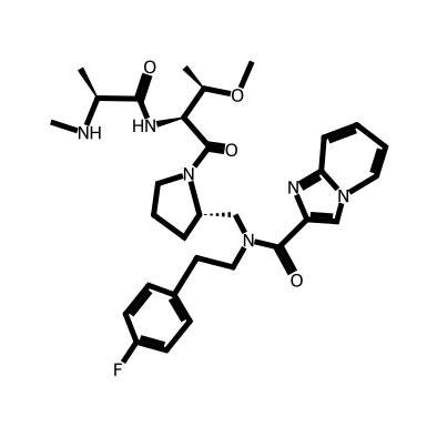 CN[C@@H](C)C(=O)N[C@H](C(=O)N1CCC[C@H]1CN(CCc1ccc(F)cc1)C(=O)c1cn2ccccc2n1)[C@@H](C)OC